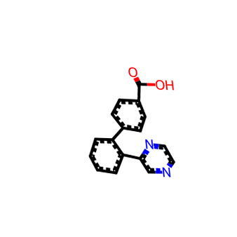 O=C(O)c1ccc(-c2ccccc2-c2cnccn2)cc1